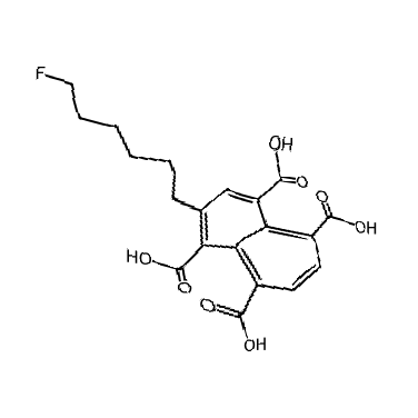 O=C(O)c1ccc(C(=O)O)c2c(C(=O)O)c(CCCCCCF)cc(C(=O)O)c12